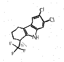 C[C@]1(C(F)(F)F)CCCc2c1[nH]c1cc(Cl)c(Cl)cc21